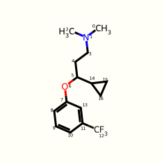 CN(C)CCC(Oc1cccc(C(F)(F)F)c1)C1CC1